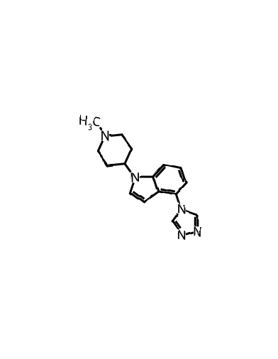 CN1CCC(n2ccc3c(-n4cnnc4)cccc32)CC1